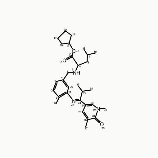 Cc1ccc(CNC(CC(C)C)C(=O)OC2CCCC2)cc1/N=C(/c1cc(C)c(=O)n(C)c1)C(C)C